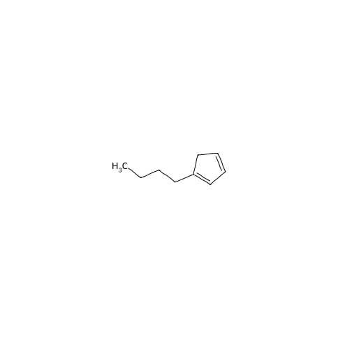 CCCCC1=CC=CC1